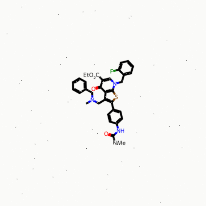 CCOC(=O)c1cn(Cc2ccccc2F)c2sc(-c3ccc(NC(=O)NC)cc3)c(CN(C)Cc3ccccc3)c2c1=O